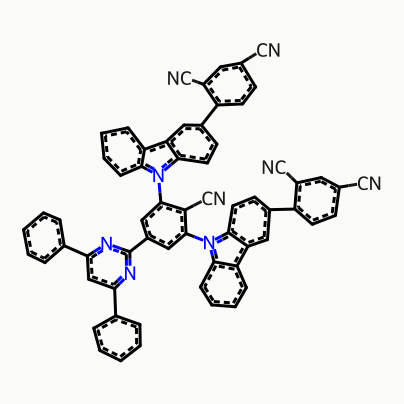 N#Cc1ccc(-c2ccc3c(c2)c2ccccc2n3-c2cc(-c3nc(-c4ccccc4)cc(-c4ccccc4)n3)cc(-n3c4ccccc4c4cc(-c5ccc(C#N)cc5C#N)ccc43)c2C#N)c(C#N)c1